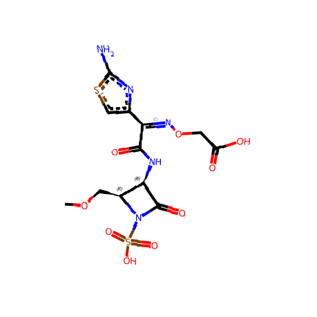 COC[C@H]1[C@@H](NC(=O)/C(=N\OCC(=O)O)c2csc(N)n2)C(=O)N1S(=O)(=O)O